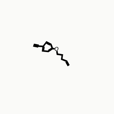 C#Cc1ccc(OCCCC=C)cc1